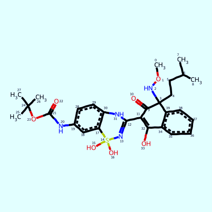 CONC1(CCC(C)C)C(=O)C(C2=NS(O)(O)c3cc(NC(=O)OC(C)(C)C)ccc3N2)=C(O)c2ccccc21